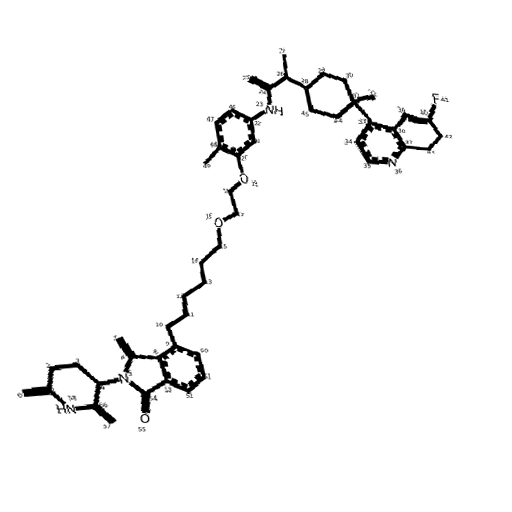 C=C1CCC(N2C(=C)c3c(CCCCCCOCCOc4cc(NC(=C)C(C)C5CCC(C)(c6ccnc7c6C=C(F)CC7)CC5)ccc4C)cccc3C2=O)C(=C)N1